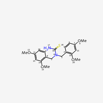 COc1ccc(CN(Cc2ccc(OC)cc2OC)C(N)=S)c(OC)c1